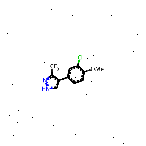 COc1ccc(-c2c[nH]nc2C(F)(F)F)cc1Cl